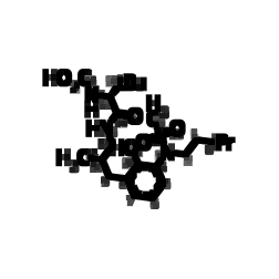 CC(C)CCN(c1cccc(C[C@@H](C)CNC(=O)[C@@H](NC(=O)O)C(C)(C)C)c1O)S(C)(=O)=O